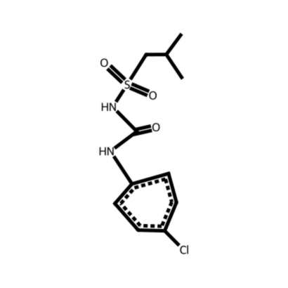 CC(C)CS(=O)(=O)NC(=O)Nc1ccc(Cl)cc1